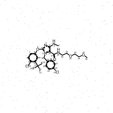 CNc1nc(Oc2ccc(Cl)c(C(F)(F)F)c2)n(Cc2ccc(Cl)cc2)c1C(=O)NCCOCCOC